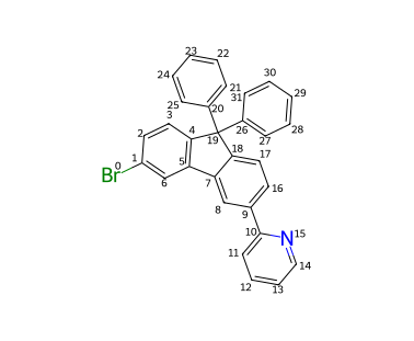 Brc1ccc2c(c1)-c1cc(-c3ccccn3)ccc1C2(c1ccccc1)c1ccccc1